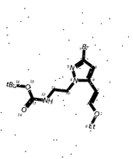 CCOC=Cc1cc(Br)nn1CCNC(=O)OC(C)(C)C